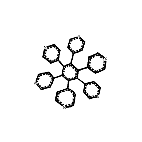 c1cc(-c2c(-c3ccncc3)c(-c3ccncc3)c(-c3ccncc3)c(-c3ccncc3)c2-c2ccncc2)ccn1